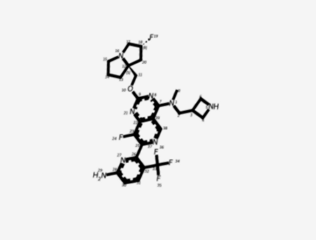 CN(CC1CNC1)c1nc(OC[C@@]23CCCN2C[C@H](F)C3)nc2c(F)c(-c3nc(N)ccc3C(F)(F)F)ncc12